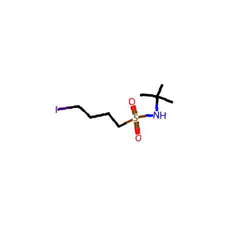 CC(C)(C)NS(=O)(=O)CCCCI